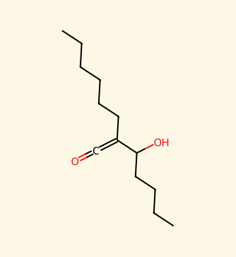 CCCCCCC(=C=O)C(O)CCCC